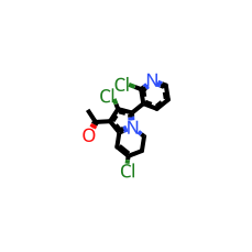 CC(=O)c1c(Cl)c(-c2cccnc2Cl)n2c1C=C(Cl)CC2